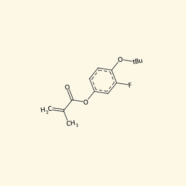 C=C(C)C(=O)Oc1ccc(OC(C)(C)C)c(F)c1